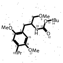 CCCc1cc(OC)c(CC(COC)NC(=O)OC(C)(C)C)cc1OC